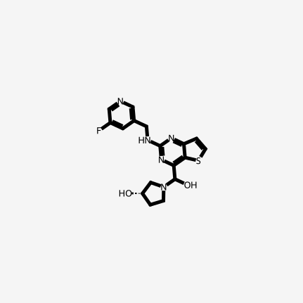 OC(c1nc(NCc2cncc(F)c2)nc2ccsc12)N1CC[C@H](O)C1